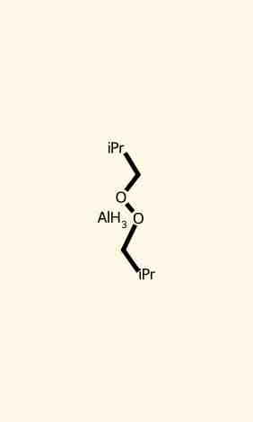 CC(C)COOCC(C)C.[AlH3]